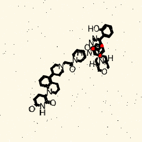 Nc1nnc(-c2ccccc2O)cc1N1C[C@@H]2COC[C@@H](C1)N2c1cccc(OC2CCN(C(=O)CN3CCC(c4cccc5c4CCCN5C4CCC(=O)NC4=O)CC3)CC2)c1